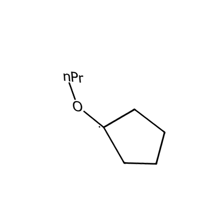 CCCO[C]1CCCC1